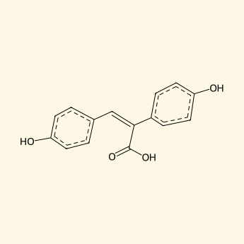 O=C(O)C(=Cc1ccc(O)cc1)c1ccc(O)cc1